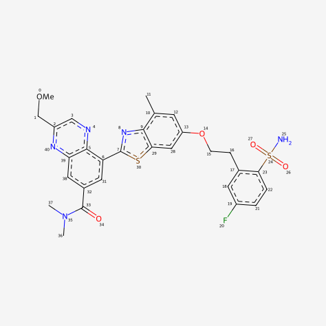 COCc1cnc2c(-c3nc4c(C)cc(OCCc5cc(F)ccc5S(N)(=O)=O)cc4s3)cc(C(=O)N(C)C)cc2n1